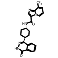 O=C(N[C@H]1CC[C@H](c2n[nH]c(=O)c3ccccc32)CC1)c1cnc2c(C(F)(F)F)cccn12